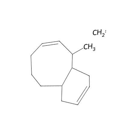 CC1C=CCCCC2CC=CCC12.[CH2]